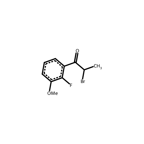 COc1cccc(C(=O)C(C)Br)c1F